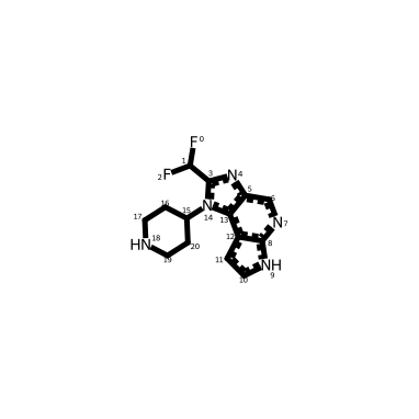 FC(F)c1nc2cnc3[nH]ccc3c2n1C1CCNCC1